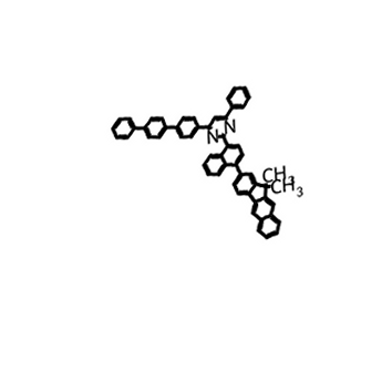 CC1(C)c2cc(-c3ccc(-c4nc(-c5ccccc5)cc(-c5ccc(-c6ccc(-c7ccccc7)cc6)cc5)n4)c4ccccc34)ccc2-c2cc3ccccc3cc21